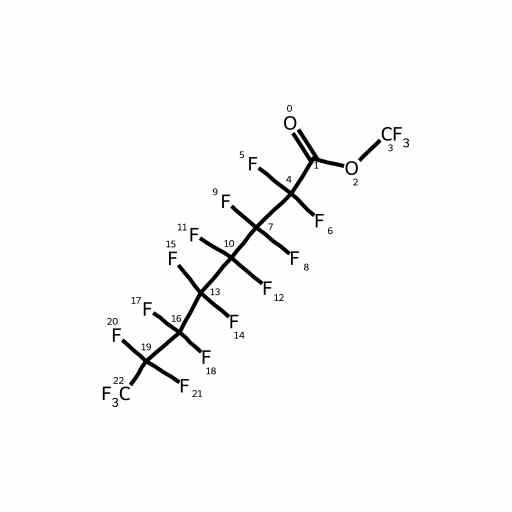 O=C(OC(F)(F)F)C(F)(F)C(F)(F)C(F)(F)C(F)(F)C(F)(F)C(F)(F)C(F)(F)F